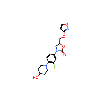 O=C1OC(COc2ccon2)CN1c1ccc(N2CCC(O)CC2)c(F)c1